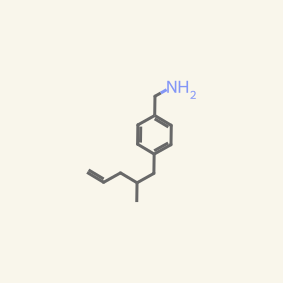 C=CCC(C)Cc1ccc(CN)cc1